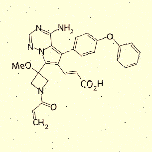 C=CC(=O)N1CC(OC)(c2c(C=CC(=O)O)c(-c3ccc(Oc4ccccc4)cc3)c3c(N)ncnn23)C1